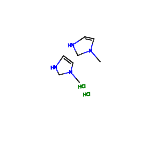 CN1C=CNC1.CN1C=CNC1.Cl.Cl